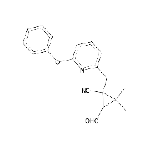 CC1(C)C(C=O)C1(C#N)Cc1cccc(Oc2ccccc2)n1